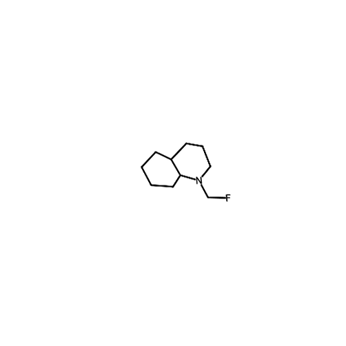 FCN1CCCC2CCCCC21